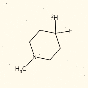 [2H]C1(F)CCN(C)CC1